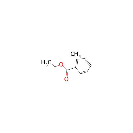 C.CCOC(=O)c1ccccc1